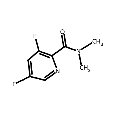 CN(C)C(=O)c1ncc(F)cc1F